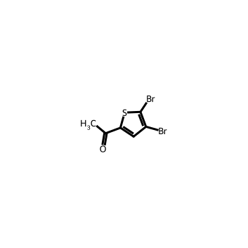 CC(=O)c1cc(Br)c(Br)s1